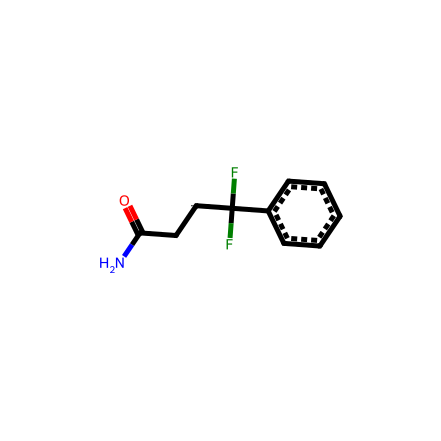 NC(=O)C[CH]C(F)(F)c1ccccc1